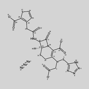 O=C([O-])CC(Sc1nnn[nH]1)C1=C(C(=O)[O-])N2C(=O)C(NC(=O)Cc3ccsc3C(=O)[O-])[C@@H]2SC1.[Na+].[Na+].[Na+]